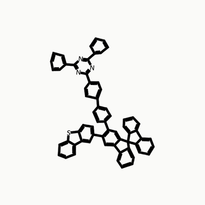 c1ccc(-c2nc(-c3ccccc3)nc(-c3ccc(-c4ccc(-c5cc6c(cc5-c5ccc7sc8ccccc8c7c5)-c5ccccc5C65c6ccccc6-c6ccccc65)cc4)cc3)n2)cc1